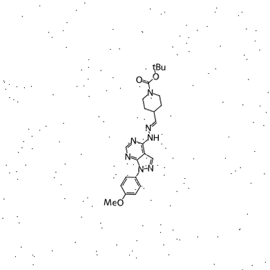 COc1ccc(-n2ncc3c(N/N=C/C4CCN(C(=O)OC(C)(C)C)CC4)ncnc32)cc1